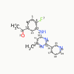 CC(=O)c1ccc(F)c(Nc2cc(C)nc(-c3cccnc3)n2)c1